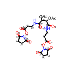 CC(=O)OC(C(=O)NCCC(=O)ON1C(=O)CCC1=O)C(OC(C)=O)C(=O)NCCC(=O)ON1C(=O)CCC1=O